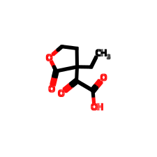 CCC1(C(=O)C(=O)O)CCOC1=O